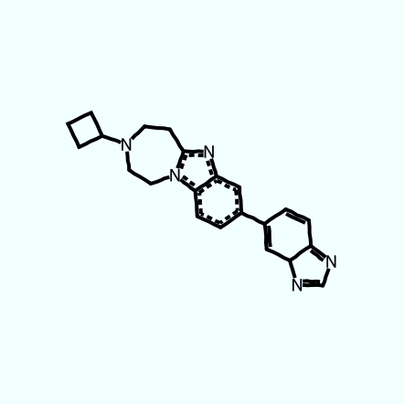 C1=CC2=NC=NC2C=C1c1ccc2c(c1)nc1n2CCN(C2CCC2)CC1